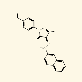 CC1=NN(c2ccc(CO)cc2)C(=O)C1=NN(O)c1ccc2ccccc2c1